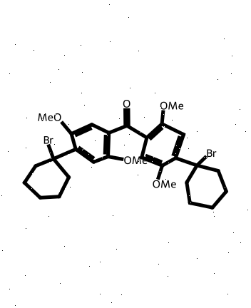 COc1cc(C2(Br)CCCCC2)c(OC)cc1C(=O)c1cc(OC)c(C2(Br)CCCCC2)cc1OC